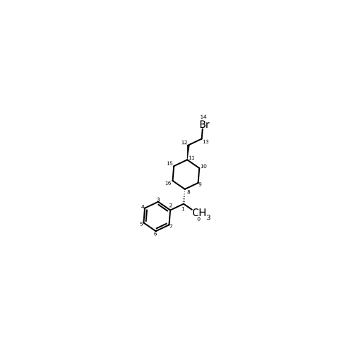 CC(c1ccccc1)[C@H]1CC[C@H](CCBr)CC1